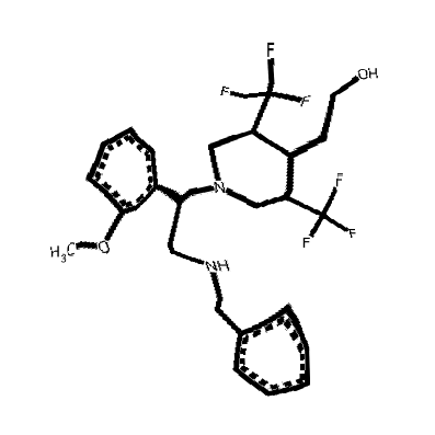 COc1ccccc1C(CNCc1ccccc1)N1CC(C(F)(F)F)C(CCO)C(C(F)(F)F)C1